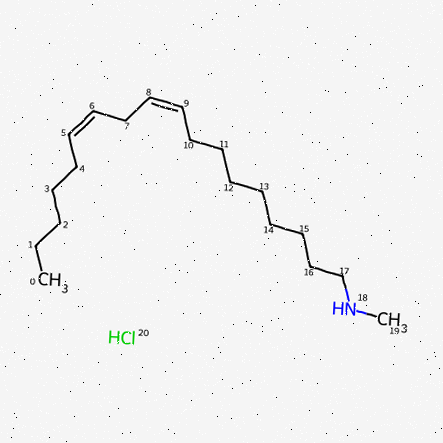 CCCCC/C=C\C/C=C\CCCCCCCCNC.Cl